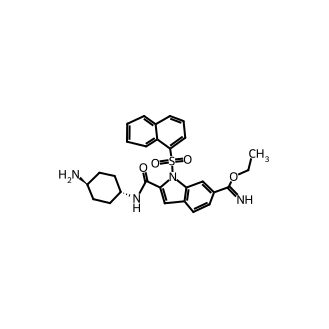 CCOC(=N)c1ccc2cc(C(=O)N[C@H]3CC[C@H](N)CC3)n(S(=O)(=O)c3cccc4ccccc34)c2c1